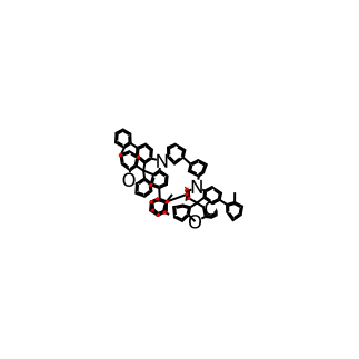 Cc1ccccc1-c1ccc2c(c1)C1(c3ccccc3Oc3ccccc31)c1cc(-c3ccccc3C)ccc1N2c1cccc(-c2cccc(N3c4ccc(-c5ccccc5C)cc4C4(c5ccccc5Oc5ccccc54)c4cc(-c5ccccc5C)ccc43)c2)c1